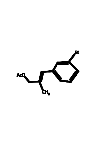 CCc1cccc(/C=C(\C)COC(C)=O)c1